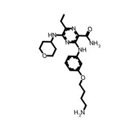 CCc1nc(C(N)=O)c(Nc2cccc(OCCCCN)c2)nc1NC1CCOCC1